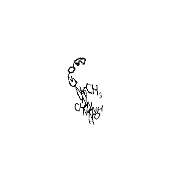 CC[C@H]1CN(c2nc3[nH]c(=O)[nH]c3nc2Cl)CCN1C1CCN(Cc2ccc(-n3cccn3)cc2)CC1